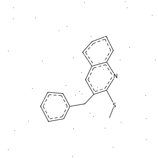 CSc1nc2ccccc2cc1Cc1ccccc1